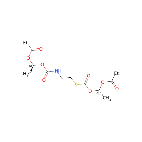 CCC(=O)O[C@H](C)OC(=O)NCCSC(=O)O[C@@H](C)OC(=O)CC